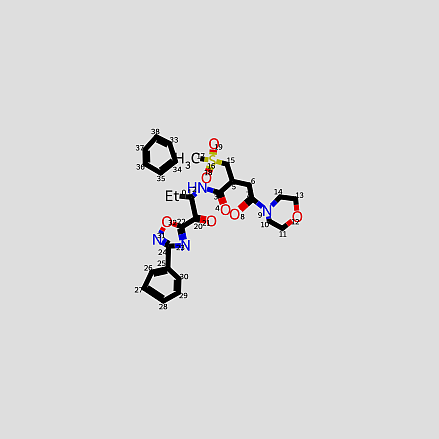 CCC(NC(=O)C(CC(=O)N1CCOCC1)CS(C)(=O)=O)C(=O)c1nc(-c2ccccc2)no1.c1ccccc1